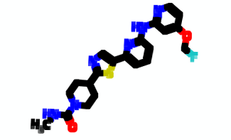 CNC(=O)N1CCC(c2ncc(-c3cccc(Nc4cc(OCF)ccn4)n3)s2)CC1